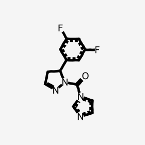 O=C(N1N=CCC1c1cc(F)cc(F)c1)n1ccnc1